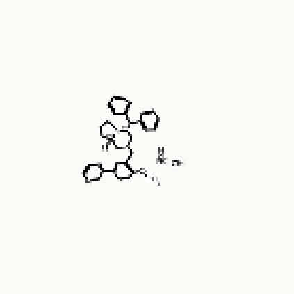 COc1ccc(-c2cccnc2)cc1CN1C[C@@H]2CCCN2[C@H](C(c2ccccc2)c2ccccc2)C1.Cl.Cl.Cl